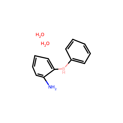 Nc1ccccc1Bc1ccccc1.O.O